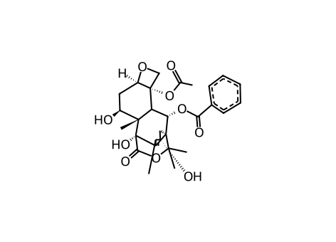 CC(=O)O[C@@]12CO[C@@H]1C[C@H](O)[C@]1(C)C2[C@H](OC(=O)c2ccccc2)[C@]23C[C@H](O)C(C)=C2[C@@]1(O)C(=O)OC3(C)C